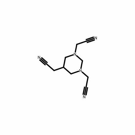 N#CCC1CN(CC#N)CN(CC#N)C1